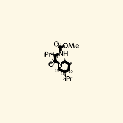 COC(=O)N[C@H](C(=O)N1CCC[C@@H](C(C)C)C1)C(C)C